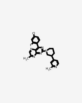 Cc1cc(C2CCCN(c3nc(-c4ccc(Cl)cc4F)c4ncc(C)nc4n3)C2)ccn1